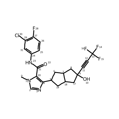 Cn1cnc(C2CC3CC(O)(C#CC(F)(F)F)CC3C2)c1C(=O)Nc1ccc(F)c(Cl)c1